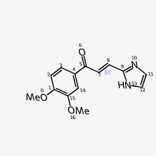 COc1ccc(C(=O)/C=C/c2ncc[nH]2)cc1OC